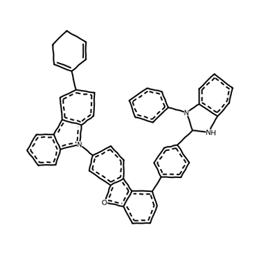 C1=CC(c2ccc3c(c2)c2ccccc2n3-c2ccc3c(c2)oc2cccc(-c4ccc(C5Nc6ccccc6N5c5ccccc5)cc4)c23)=CCC1